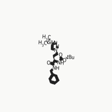 C[SiH](C)c1cn(CC[C@@H](NC(=O)OC(C)(C)C)C(=O)NCc2ccccc2)nn1